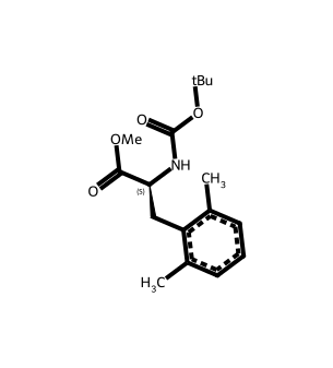 COC(=O)[C@H](Cc1c(C)cccc1C)NC(=O)OC(C)(C)C